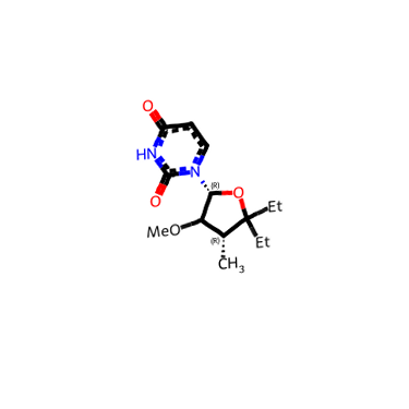 CCC1(CC)O[C@@H](n2ccc(=O)[nH]c2=O)C(OC)[C@H]1C